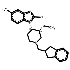 CO[C@@H]1CN(CC2Cc3ccccc3C2)CC[C@@H]1n1c(C)nc2cc(C)ccc21